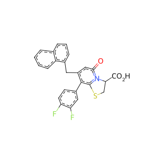 O=C(O)C1CSc2c(-c3ccc(F)c(F)c3)c(Cc3cccc4ccccc34)cc(=O)n21